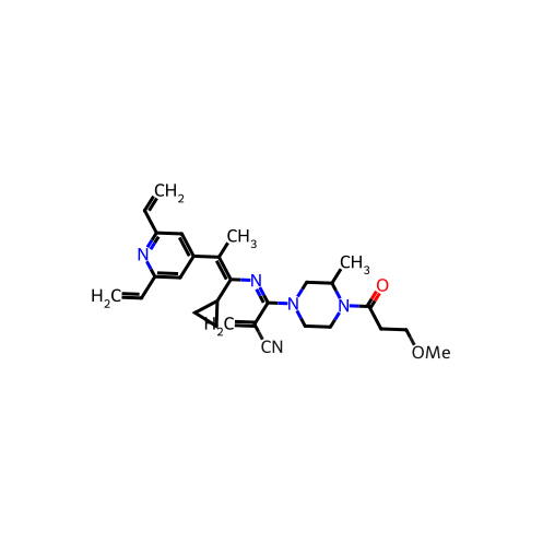 C=Cc1cc(/C(C)=C(/N=C(\C(=C)C#N)N2CCN(C(=O)CCOC)C(C)C2)C2CC2)cc(C=C)n1